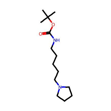 CC(C)(C)OC(=O)NCCCCCN1CCCC1